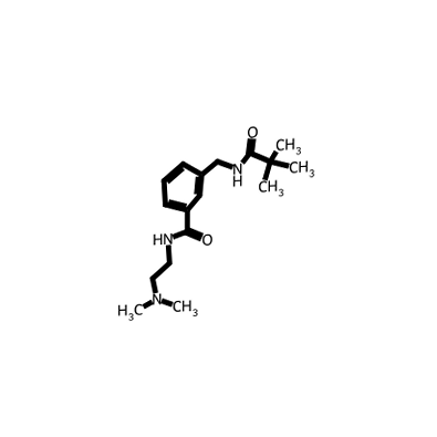 CN(C)CCNC(=O)c1cccc(CNC(=O)C(C)(C)C)c1